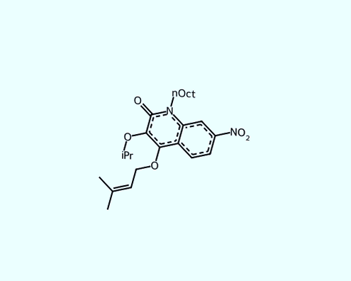 CCCCCCCCn1c(=O)c(OC(C)C)c(OCC=C(C)C)c2ccc([N+](=O)[O-])cc21